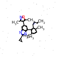 C=C/C=C\c1c(C)ccc(C)c1-c1cc(-c2c(C)noc2C)cc2nc(C3CC3)n(C)c12